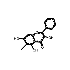 Cc1c(O)cc2oc(-c3ccccc3)c(O)c(=O)c2c1O